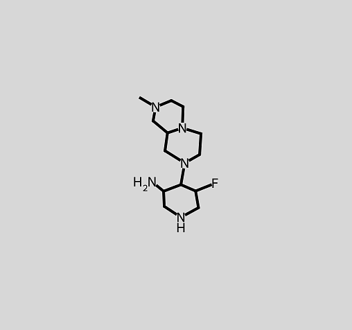 CN1CCN2CCN(C3C(N)CNCC3F)CC2C1